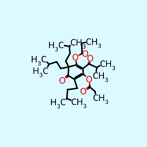 CCC(=O)OC1=C(CCC(C)C)C(=O)C(CCC(C)C)(CCC(C)C)C(OC(=O)CC)=C1C(=O)C(C)C